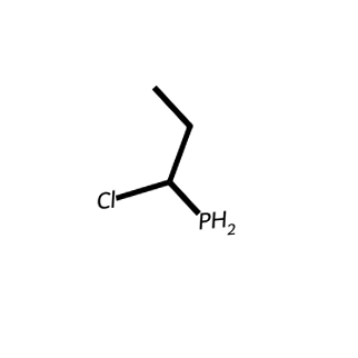 CCC(P)Cl